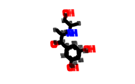 CC(CO)NC(C)C(=O)c1cc(O)cc(O)c1